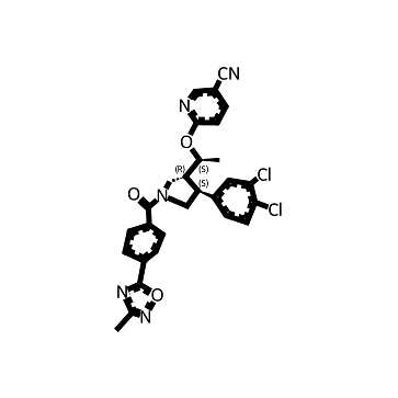 Cc1noc(-c2ccc(C(=O)N3C[C@H]([C@H](C)Oc4ccc(C#N)cn4)[C@@H](c4ccc(Cl)c(Cl)c4)C3)cc2)n1